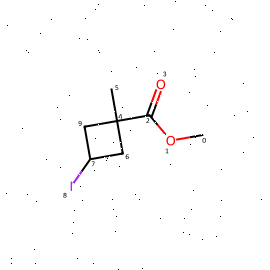 COC(=O)C1(C)CC(I)C1